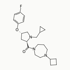 O=C([C@H]1C[C@H](Oc2ccc(F)cc2)CN1CC1CC1)N1CCCN(C2CCC2)CC1